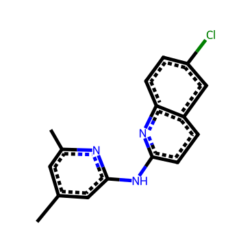 Cc1cc(C)nc(Nc2ccc3cc(Cl)ccc3n2)c1